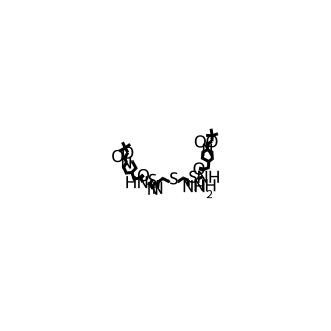 CC(C)(C)OC(=O)N1CCC(CC(=O)NC(=N)SC(N)CCSCCc2nnc(NC(=O)CC3CCN(C(=O)OC(C)(C)C)CC3)s2)CC1